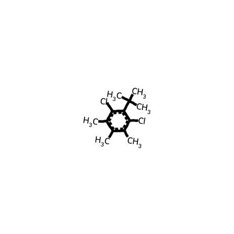 Cc1c(C)c(Cl)c(C(C)(C)C)c(Cl)c1C